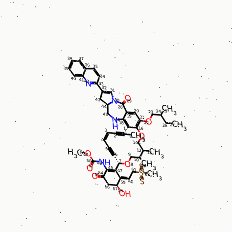 CC#C/C=C\C#C[C@H](OCC(C)C(C)COc1cc2c(cc1OCC(C)CC)C(=O)N1C=C(c3ccc4ccccc4n3)CC1CN2)C1=C(NC(=O)OC)C(=O)C[C@H](O)/C1=C/CS(C)(=S)=S